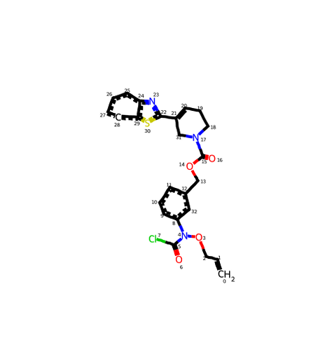 C=CCON(C(=O)Cl)c1cccc(COC(=O)N2CCC=C(c3nc4ccccc4s3)C2)c1